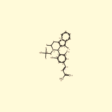 CC1Cc2c(c(F)c3ccccn23)C(c2c(F)cc(/C=C/C(=O)O)cc2F)N1CC(C)(C)F